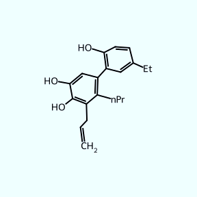 C=CCc1c(O)c(O)cc(-c2cc(CC)ccc2O)c1CCC